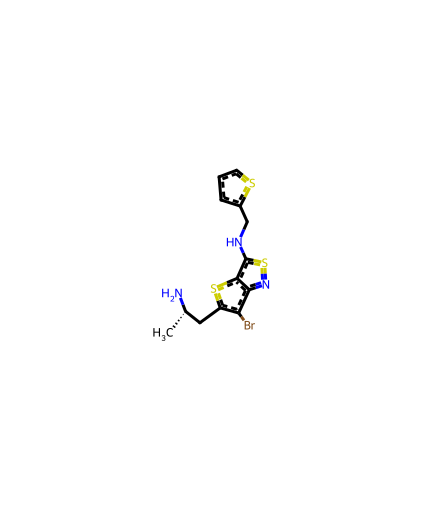 C[C@H](N)Cc1sc2c(NCc3cccs3)snc2c1Br